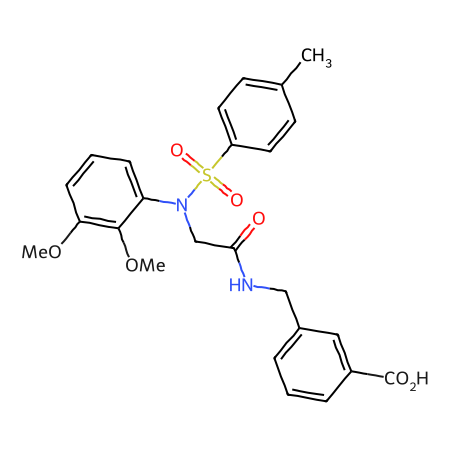 COc1cccc(N(CC(=O)NCc2cccc(C(=O)O)c2)S(=O)(=O)c2ccc(C)cc2)c1OC